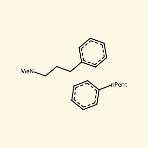 CCCCCc1ccccc1.CNCCCc1ccccc1